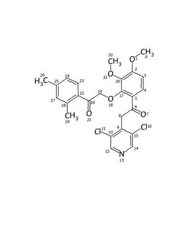 COc1ccc(C(=O)Cc2c(Cl)cncc2Cl)c(OCC(=O)c2ccc(C)cc2C)c1OC